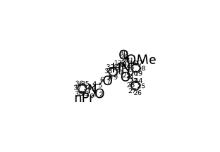 CCCC(=O)N(CCCOc1ccc(C[C@H](Nc2ccccc2C(=O)c2ccccc2)C(=O)OC)cc1)c1ccccc1